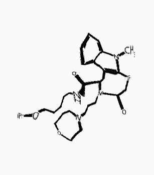 CC(C)OCCCNC(=O)C1c2c(n(C)c3ccccc23)SCC(=O)N1CCN1CCOCC1